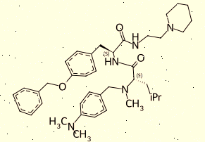 CC(C)C[C@@H](C(=O)N[C@@H](Cc1ccc(OCc2ccccc2)cc1)C(=O)NCCN1CCCCC1)N(C)Cc1ccc(N(C)C)cc1